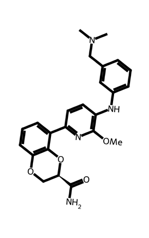 COc1nc(-c2cccc3c2O[C@@H](C(N)=O)CO3)ccc1Nc1cccc(CN(C)C)c1